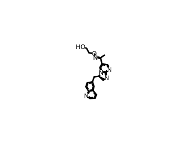 CC(=NOCCO)c1cnc2ncc(Cc3ccc4ncccc4c3)n2c1